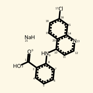 O=C(O)c1ccccc1Nc1ccnc2cc(Cl)ccc12.[NaH]